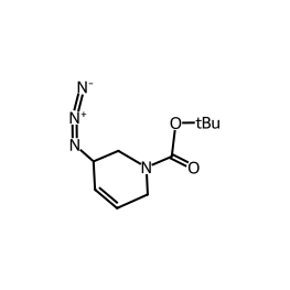 CC(C)(C)OC(=O)N1CC=CC(N=[N+]=[N-])C1